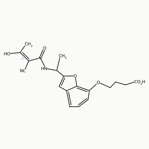 C/C(O)=C(/C#N)C(=O)NC(C)c1cc2cccc(OCCCC(=O)O)c2o1